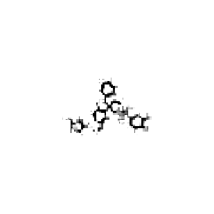 Cc1cc2c(cnn2-c2cnn(C)c2)cc1C1(Cc2ccccc2)CCN(S(=O)(=O)c2ccc(F)c(F)c2)C1